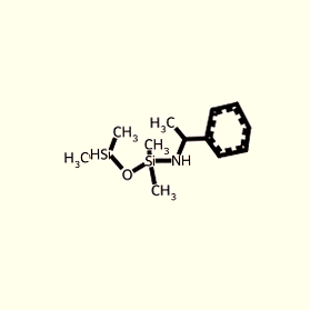 CC(N[Si](C)(C)O[SiH](C)C)c1ccccc1